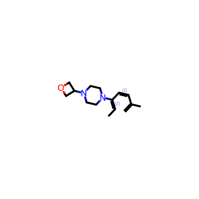 C=C(C)/C=C\C(=C\C)N1CCN(C2COC2)CC1